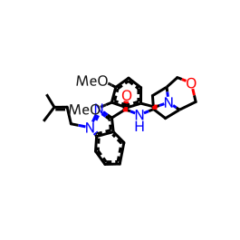 COc1ccc(CN2C3COCC2CC(NC(=O)c2nn(CC=C(C)C)c4ccccc24)C3)cc1OC